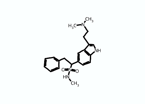 CNS(=O)(=O)C(Cc1ccccc1)c1ccc2[nH]cc(CCN(C)C)c2c1